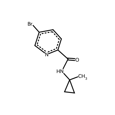 CC1(NC(=O)c2ccc(Br)cn2)CC1